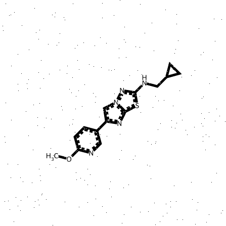 COc1ccc(-c2cn3nc(NCC4CC4)sc3n2)cn1